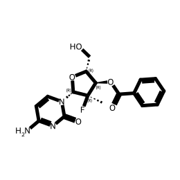 C[C@@]1(F)[C@H](OC(=O)c2ccccc2)[C@@H](CO)O[C@H]1n1ccc(N)nc1=O